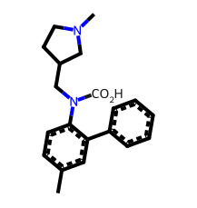 Cc1ccc(N(CC2CCN(C)C2)C(=O)O)c(-c2ccccc2)c1